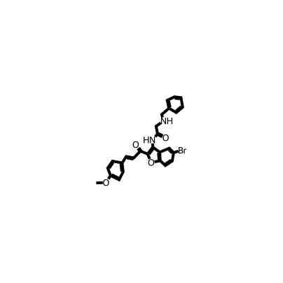 COc1ccc(C=CC(=O)c2oc3ccc(Br)cc3c2NC(=O)CNCc2ccccc2)cc1